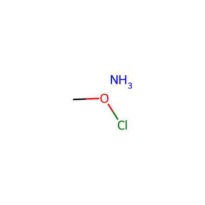 COCl.N